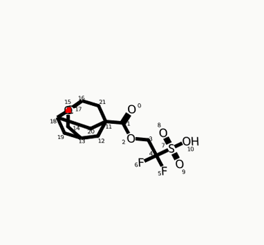 O=C(OCC(F)(F)S(=O)(=O)O)C12CC3COC(CC(C3)C1)C2